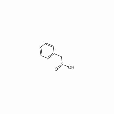 O=S(O)Cc1ccccc1